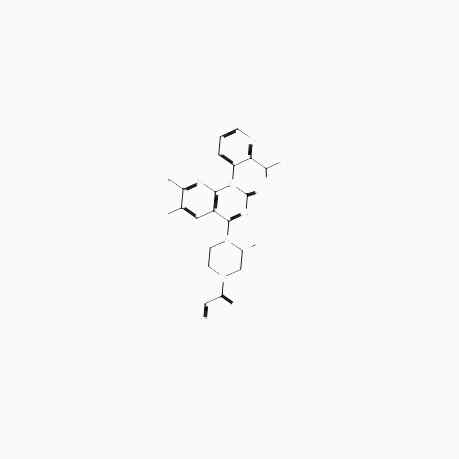 C=CC(=O)N1CCN(c2nc(=O)n(-c3cccnc3C(C)C)c3nc(Cl)c(F)cc23)[C@@H](C)C1